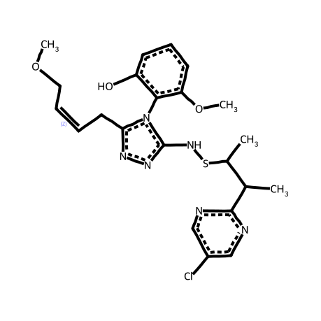 COC/C=C\Cc1nnc(NSC(C)C(C)c2ncc(Cl)cn2)n1-c1c(O)cccc1OC